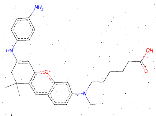 CCN(CCCCCC(=O)O)c1ccc2cc3c([o+]c2c1)C=C(Nc1ccc(N)cc1)CC3(C)C